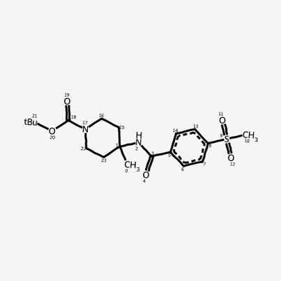 CC1(NC(=O)c2ccc(S(C)(=O)=O)cc2)CCN(C(=O)OC(C)(C)C)CC1